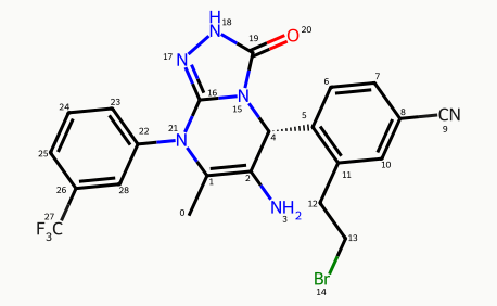 CC1=C(N)[C@@H](c2ccc(C#N)cc2CCBr)n2c(n[nH]c2=O)N1c1cccc(C(F)(F)F)c1